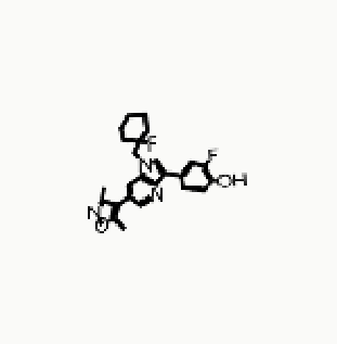 Cc1noc(C)c1-c1cnc2c(-c3ccc(O)c(F)c3)cn(CC3(F)CCCCC3)c2c1